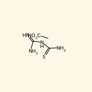 CC(=O)O.N=C(N)NC(N)=S